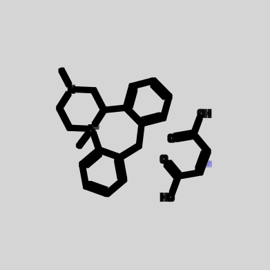 CN1CC[N+]2(C)c3ccccc3Cc3ccccc3C2C1.O=C(O)/C=C\C(=O)O